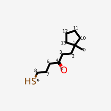 CC1(CCC(=O)CCCS)CCCC1